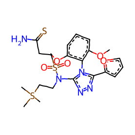 COc1cccc(OC)c1-n1c(-c2ccco2)nnc1N(CCS(C)(C)C)S(=O)(=O)CCC(N)=S